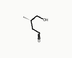 C[C@H](CO)CC=O